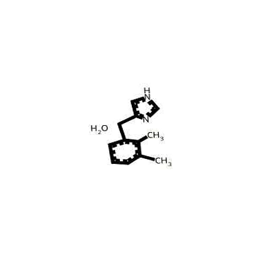 Cc1cccc(Cc2c[nH]cn2)c1C.O